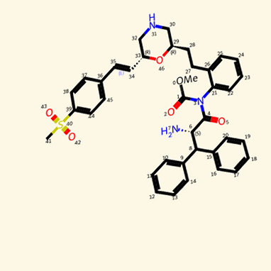 COC(=O)N(C(=O)[C@@H](N)C(c1ccccc1)c1ccccc1)c1ccccc1CC[C@@H]1CNC[C@@H](/C=C/c2ccc(S(C)(=O)=O)cc2)O1